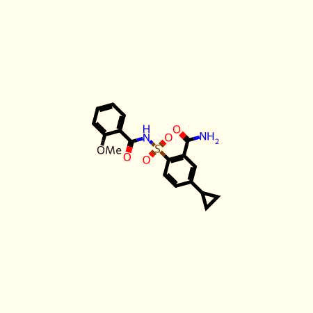 COc1ccccc1C(=O)NS(=O)(=O)c1ccc(C2CC2)cc1C(N)=O